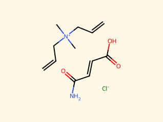 C=CC[N+](C)(C)CC=C.NC(=O)C=CC(=O)O.[Cl-]